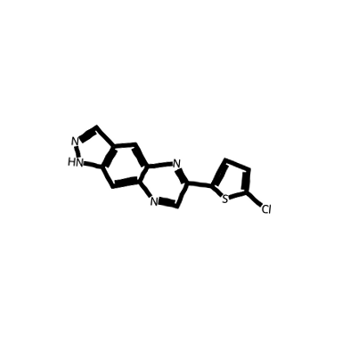 Clc1ccc(-c2cnc3cc4[nH]ncc4cc3n2)s1